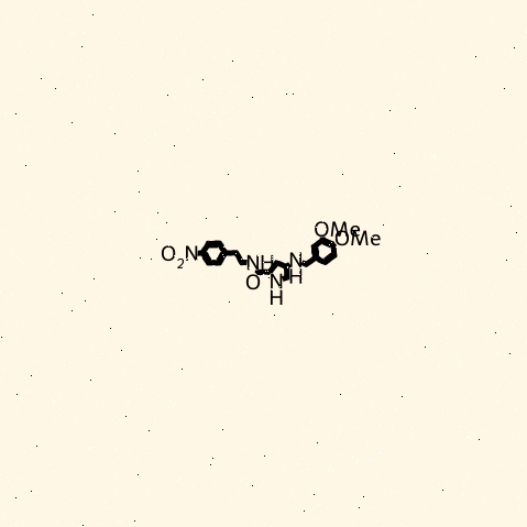 COc1ccc(CNC2CNC(C(=O)NCCc3ccc([N+](=O)[O-])cc3)C2)cc1OC